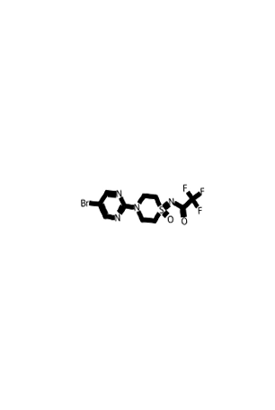 O=C(N=S1(=O)CCN(c2ncc(Br)cn2)CC1)C(F)(F)F